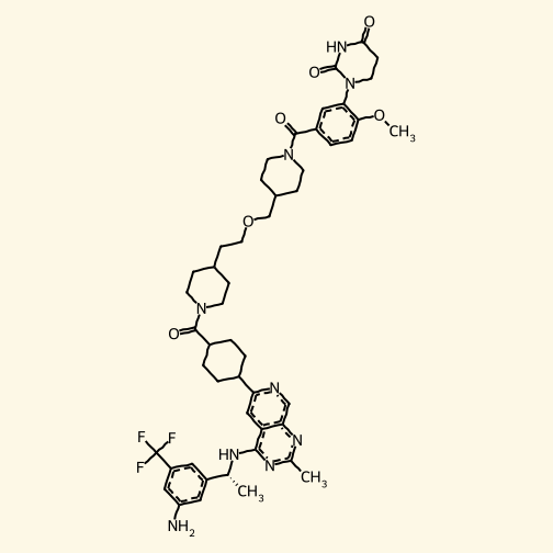 COc1ccc(C(=O)N2CCC(COCCC3CCN(C(=O)C4CCC(c5cc6c(N[C@H](C)c7cc(N)cc(C(F)(F)F)c7)nc(C)nc6cn5)CC4)CC3)CC2)cc1N1CCC(=O)NC1=O